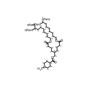 CCCCCC(CCCCC)CCCCCCCOC(=O)CCCC(CCCC(=O)OCCCCCCCC(CCCCC)CCCCC)COC(=O)C1CCN(C)CC1